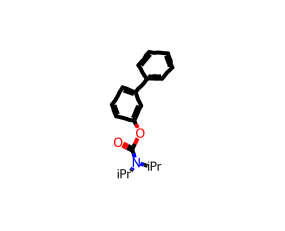 CC(C)N(C(=O)Oc1cccc(-c2ccccc2)c1)C(C)C